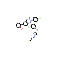 C[C@@H]1Cc2cc(-c3ccccc3O)ccc2[C@@H](c2c(F)cc(NC3CN(CCCF)C3)cc2F)N1c1ccc(F)cc1F